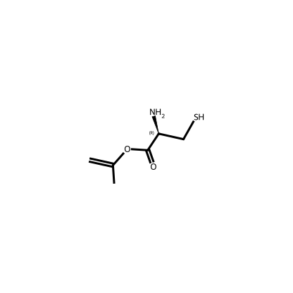 C=C(C)OC(=O)[C@@H](N)CS